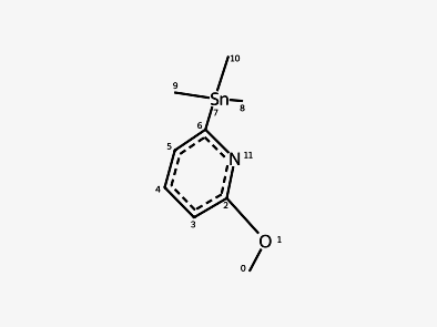 COc1ccc[c]([Sn]([CH3])([CH3])[CH3])n1